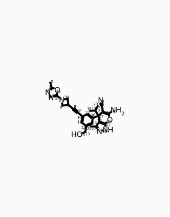 Cc1nnc(N2CC(C#Cc3cc(CO)cc(C4(C(C)C)C(C#N)=C(N)Oc5[nH]nc(C)c54)c3)C2)o1